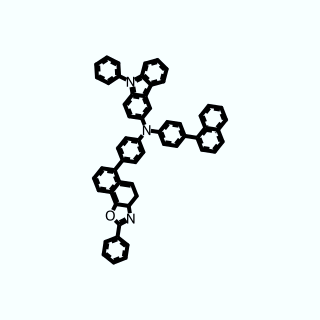 C1=c2c(-c3ccc(N(c4ccc(-c5cccc6ccccc56)cc4)c4ccc5c(c4)c4ccccc4n5-c4ccccc4)cc3)cccc2=C2OC(c3ccccc3)=NC2C1